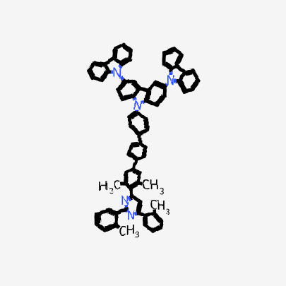 Cc1ccccc1-c1cc(-c2c(C)cc(-c3ccc(-c4ccc(-n5c6ccc(-n7c8ccccc8c8ccccc87)cc6c6cc(-n7c8ccccc8c8ccccc87)ccc65)cc4)cc3)cc2C)nc(-c2ccccc2C)n1